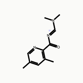 Cc1cnc(C(=O)/N=C/N(C)C)c(C)c1